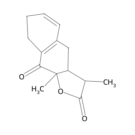 CC1C(=O)OC2(C)C(=O)C3=C(C=CCC3)CC12